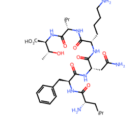 CC(C)C[C@H](N)C(=O)N[C@@H](Cc1ccccc1)C(=O)N[C@@H](CC(N)=O)C(=O)N[C@@H](CCCCN)C(=O)N[C@H](C(=O)N[C@H](C(=O)O)[C@@H](C)O)C(C)C